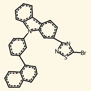 Brc1nc(-c2ccc3c4ccccc4n(-c4cccc(-c5cccc6ccccc56)c4)c3c2)ns1